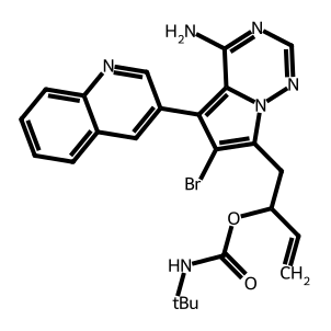 C=CC(Cc1c(Br)c(-c2cnc3ccccc3c2)c2c(N)ncnn12)OC(=O)NC(C)(C)C